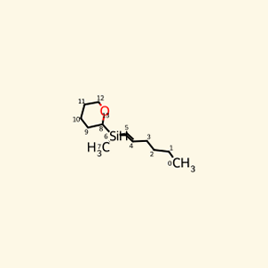 CCCCC=C[SiH](C)C1CCCCO1